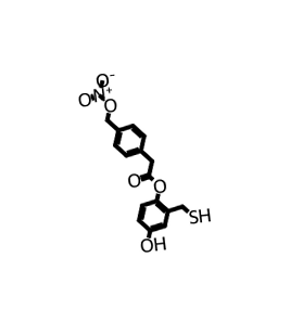 O=C(Cc1ccc(CO[N+](=O)[O-])cc1)Oc1ccc(O)cc1CS